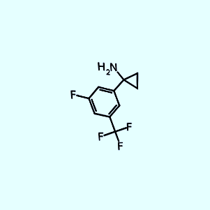 NC1(c2cc(F)cc(C(F)(F)F)c2)CC1